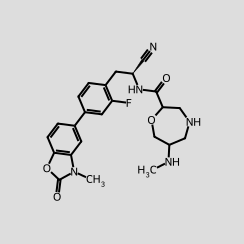 CNC1CNCC(C(=O)N[C@H](C#N)Cc2ccc(-c3ccc4oc(=O)n(C)c4c3)cc2F)OC1